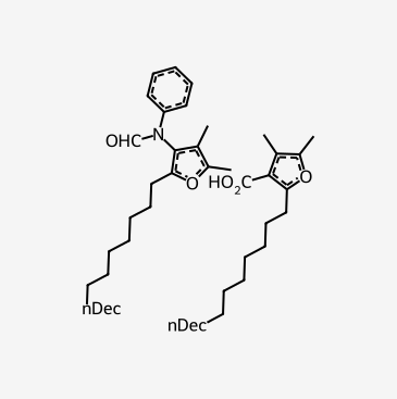 CCCCCCCCCCCCCCCCCc1oc(C)c(C)c1C(=O)O.CCCCCCCCCCCCCCCCCc1oc(C)c(C)c1N(C=O)c1ccccc1